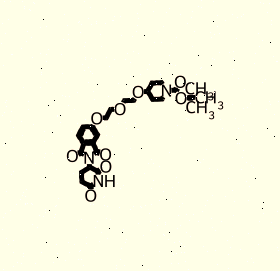 CC(C)(C)OC(=O)N1CCC(OCCOCCOc2ccc3c(c2)C(=O)N(C2CCC(=O)NC2=O)C3=O)CC1